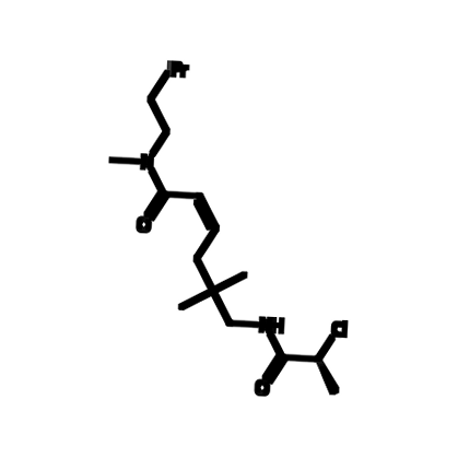 CC(C)CCN(C)C(=O)/C=C\CC(C)(C)CNC(=O)[C@H](C)Cl